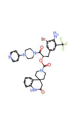 Nc1c(Br)cc(C[C@@H](OC(=O)N2CCC3(CC2)CC(=O)Nc2ccccc23)C(=O)N2CCN(c3ccncc3)CC2)cc1C(F)(F)F